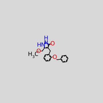 COCc1[nH][nH]c(=O)c1Cc1ccccc1OCc1ccccc1